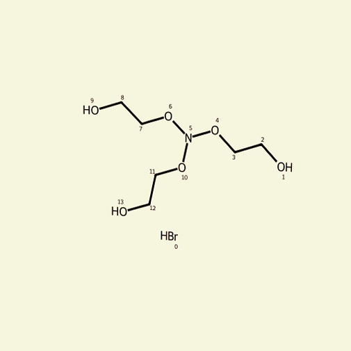 Br.OCCON(OCCO)OCCO